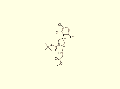 COC(=O)CNC[C@@H]1C[C@H](c2c(OC)ccc(Cl)c2Cl)CN1C(=O)OC(C)(C)C